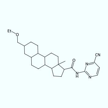 CCOCC1CCC2C(CCC3C2CCC2(C)C(C(=O)Nc4nccc(C#N)n4)CCC32)C1